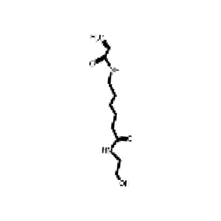 C=CC(=O)NCCCCCC(=O)NCCO